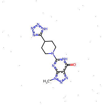 Cn1nnc2c(=O)[nH]c(N3CCC(c4nnn[nH]4)CC3)nc21